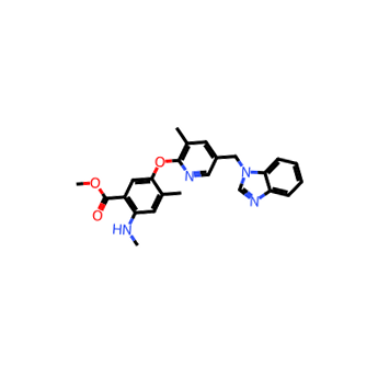 CNc1cc(C)c(Oc2ncc(Cn3cnc4ccccc43)cc2C)cc1C(=O)OC